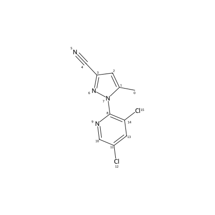 Cc1cc(C#N)nn1-c1ncc(Cl)cc1Cl